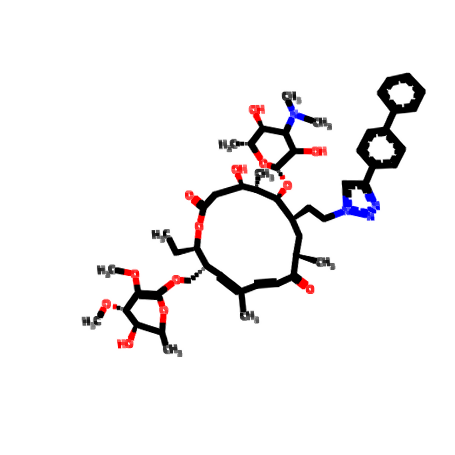 CC[C@H]1OC(=O)C[C@@H](O)[C@H](C)[C@@H](O[C@@H]2O[C@H](C)[C@@H](O)C(N(C)C)C2O)[C@@H](CCn2cc(-c3ccc(-c4ccccc4)cc3)nn2)C[C@@H](C)C(=O)/C=C/C(C)=C/[C@@H]1COC1=C(OC)[C@@H](OC)[C@H](O)C(C)O1